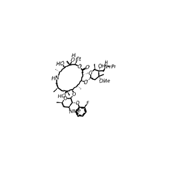 CCCNC[C@]1(O)[C@H](C)O[C@@H](O[C@H]2[C@H](C)[C@@H](O[C@@H]3O[C@H](C)C[C@H](NC)[C@H]3Oc3ccccc3F)[C@](C)(O)C[C@@H](C)CN[C@H](C)[C@@H](O)[C@](C)(O)[C@@H](CC)OC(=O)[C@@H]2C)C[C@@]1(C)OC